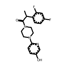 CC(C(=O)N1CCN(c2ccc(O)cn2)CC1)c1ccc(F)cc1F